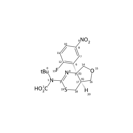 CC(C)(C)N(C(=O)O)C1=N[C@@]2(c3cc([N+](=O)[O-])ccc3F)COC[C@H]2CS1